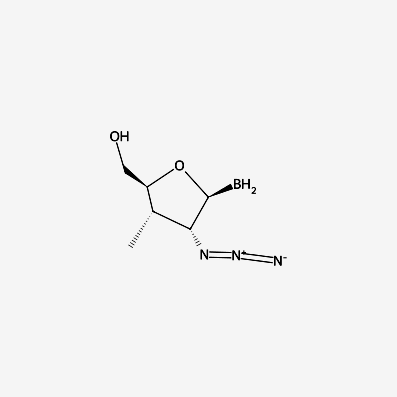 B[C@@H]1O[C@H](CO)[C@@H](C)[C@H]1N=[N+]=[N-]